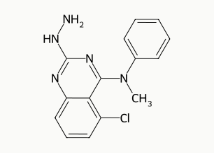 CN(c1ccccc1)c1nc(NN)nc2cccc(Cl)c12